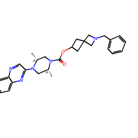 C[C@@H]1CN(c2cnc3ccccc3n2)[C@H](C)CN1C(=O)OC1CC2(C1)CN(Cc1ccccc1)C2